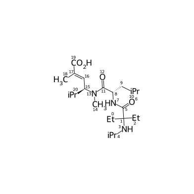 CCC(CC)(NC(C)C)C(=O)N[C@@H](CC(C)C)C(=O)N(C)[C@H](/C=C(\C)C(=O)O)C(C)C